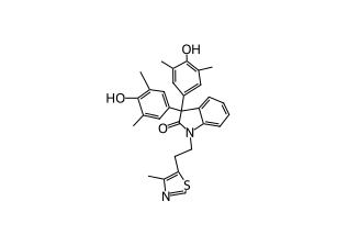 Cc1cc(C2(c3cc(C)c(O)c(C)c3)C(=O)N(CCc3scnc3C)c3ccccc32)cc(C)c1O